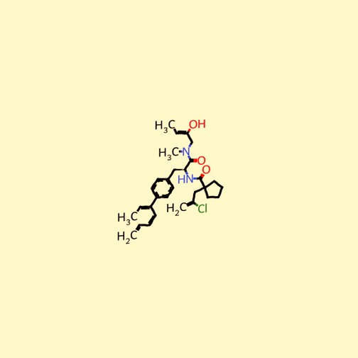 C=C/C=C\C(=C/C)c1ccc(C[C@H](NC(=O)C2(CC(=C)Cl)CCCC2)C(=O)N(C)C/C(O)=C/C)cc1